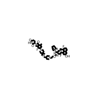 C#Cc1c(F)ccc2cc(O)cc(-c3ncc4c(N5CC6CCC(C5)N6)nc(OCCN5CCC(CN6CC7(CCN(c8cc(C)c9c(c8F)CN(C8CCC(=O)NC8=O)C9=O)CC7)C6)CC5)nc4c3F)c12